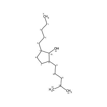 CCCCCC1CCC(CCCC(C)C)C1O